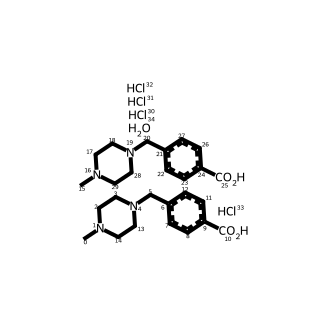 CN1CCN(Cc2ccc(C(=O)O)cc2)CC1.CN1CCN(Cc2ccc(C(=O)O)cc2)CC1.Cl.Cl.Cl.Cl.O